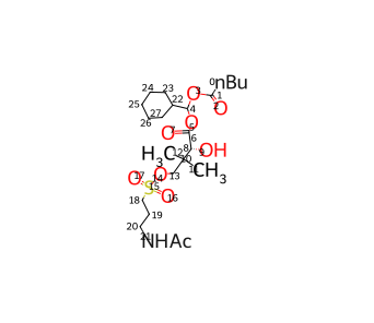 CCCCC(=O)OC(OC(=O)[C@H](O)C(C)(C)COS(=O)(=O)CCCNC(C)=O)C1CCCCC1